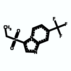 CCS(=O)(=O)c1cnc2cc(C(F)(F)F)ccn12